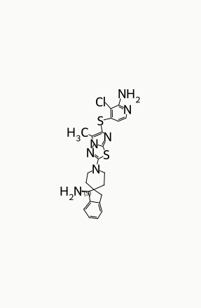 Cc1c(Sc2ccnc(N)c2Cl)nc2sc(N3CCC4(CC3)Cc3ccccc3[C@H]4N)nn12